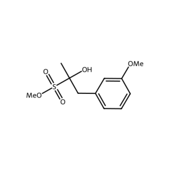 COc1cccc(CC(C)(O)S(=O)(=O)OC)c1